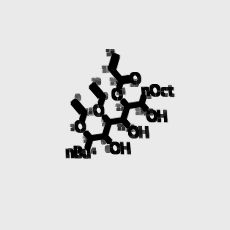 C=COC(CCCC)C(O)C(OC=C)C(O)C(OC(=O)C=C)C(O)CCCCCCCC